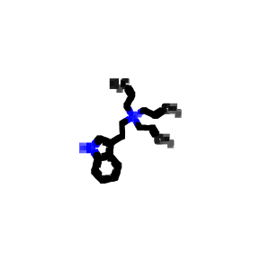 C=CC[N+](CC=C)(CC=C)CCc1c[nH]c2ccccc12